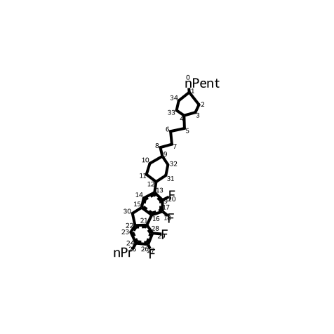 CCCCCC1CCC(CCCCC2CCC(c3cc4c(c(F)c3F)-c3c(cc(CCC)c(F)c3F)C4)CC2)CC1